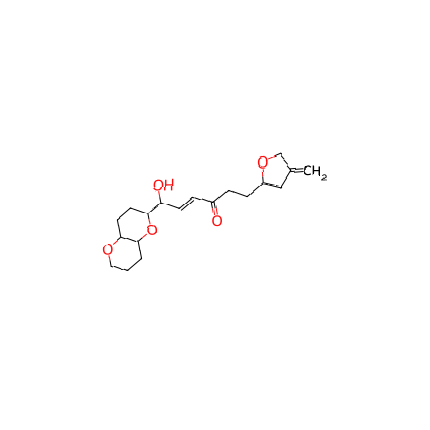 C=C1COC(CCC(=O)/C=C/C(O)C2CCC3OCCCC3O2)C1